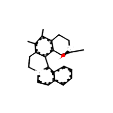 Cc1c(C)c2c(c3c1CC[n+]1ccc4ccccc4c1-3)-c1cccc(C)[n+]1CC2